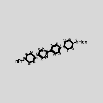 CCCCCC[C@H]1CC[C@H](c2ccc(-c3ncc([C@H]4CC[C@H](CCC)CC4)cn3)cc2)CC1